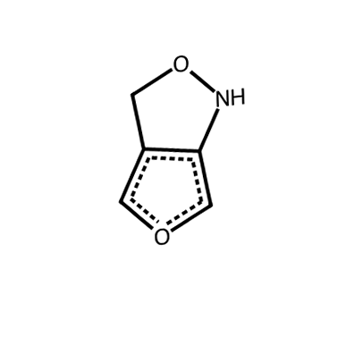 c1occ2c1CON2